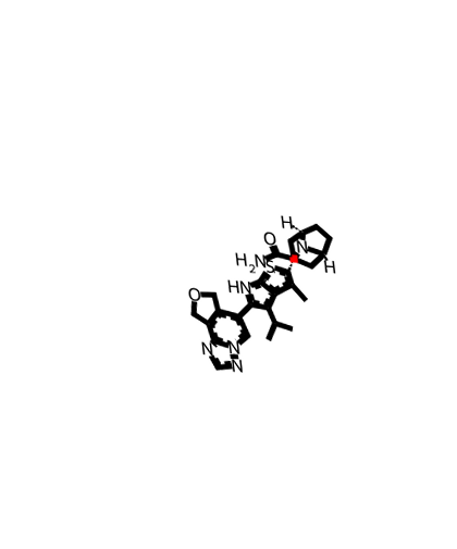 Cc1c([C@@H]2C[C@H]3CC[C@@H](C2)N3CC(N)=O)sc2[nH]c(-c3cn4ncnc4c4c3COC4)c(C(C)C)c12